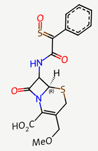 COCC1=C(C(=O)O)N2C(=O)C(NC(=O)C(=S=O)c3ccccc3)[C@H]2SC1